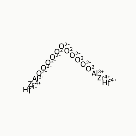 [Al+3].[Al+3].[Hf+4].[Hf+4].[O-2].[O-2].[O-2].[O-2].[O-2].[O-2].[O-2].[O-2].[O-2].[O-2].[O-2].[Zr+4].[Zr+4]